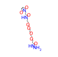 NNC(=O)CCOCCOCCOCOCCCNC(=O)CCN1C(=O)C=CC1=O